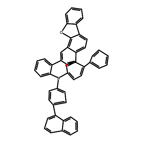 c1ccc(-c2ccc(N(c3ccc(-c4cccc5ccccc45)cc3)c3ccccc3-c3ccc4ccc5c6ccccc6oc5c4c3)cc2)cc1